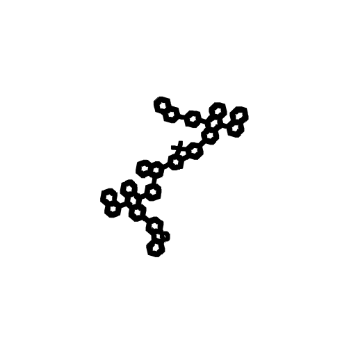 CC1(C)c2cc(-c3cc(-c4cccc(-c5c6ccccc6c(-c6cccc7ccccc67)c6ccc(-c7ccc8oc9ccccc9c8c7)cc56)c4)c4ccccc4c3)ccc2-c2ccc(-c3ccc4c(-c5cccc6ccccc56)c5ccccc5c(-c5ccc(-c6ccc7ccccc7c6)cc5)c4c3)cc21